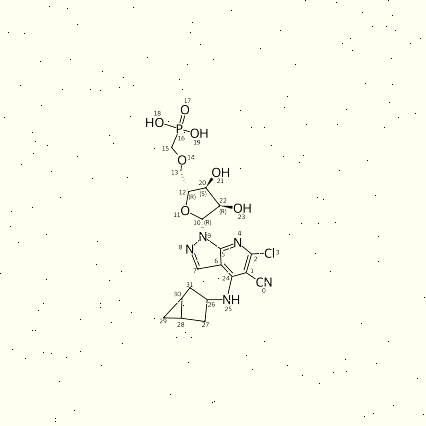 N#Cc1c(Cl)nc2c(cnn2[C@@H]2O[C@H](COCP(=O)(O)O)[C@@H](O)[C@H]2O)c1NC1CC2CC2C1